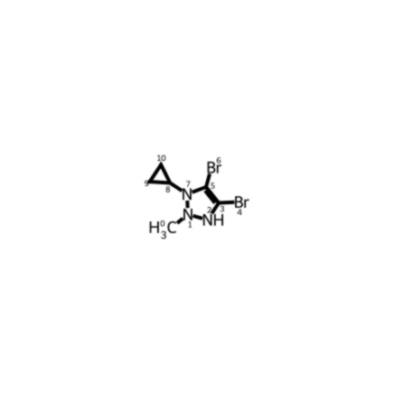 CN1NC(Br)=C(Br)N1C1CC1